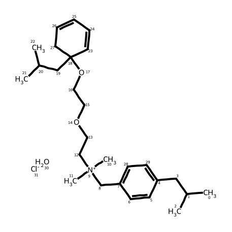 CC(C)Cc1ccc(C[N+](C)(C)CCOCCOC2(CC(C)C)C=CC=CC2)cc1.O.[Cl-]